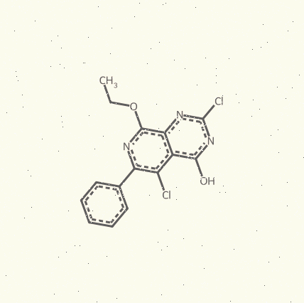 CCOc1nc(-c2ccccc2)c(Cl)c2c(O)nc(Cl)nc12